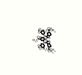 CC(C)c1cc2c3c(c1)N(c1ccc4c(c1)OCO4)c1c(sc4ccc(C(C)(C)C)cc14)B3c1sc3ccc(C(C)(C)C)cc3c1N2c1ccc2c(c1)OCO2